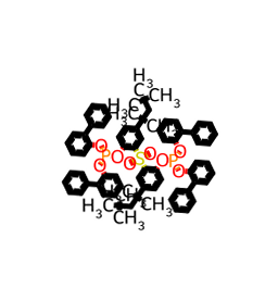 CC(C)(C)CC(C)(C)c1ccc(OP(Oc2ccccc2-c2ccccc2)Oc2ccccc2-c2ccccc2)c(S(=O)(=O)c2cc(C(C)(C)CC(C)(C)C)ccc2OP(Oc2ccccc2-c2ccccc2)Oc2ccccc2-c2ccccc2)c1